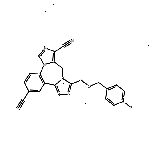 C#Cc1ccc2c(c1)-c1nnc(COCc3ccc(F)cc3)n1Cc1c(C#N)ncn1-2